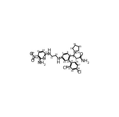 NC(=O)CC(c1ccc(NCCNc2ccc([N+](=O)[O-])c(N)n2)cc1-c1ccc(Cl)cc1Cl)N1CCCC1